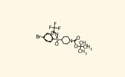 CC(C)(C)OC(=O)N1CCC(S(=O)(=NC(=O)C(F)(F)F)c2ccc(Br)cc2)CC1